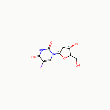 O=c1[nH]c(=O)n([C@H]2C[C@@H](O)C(CO)O2)cc1I